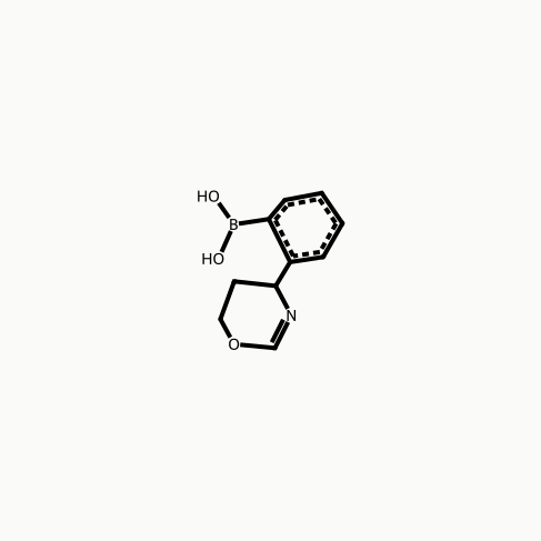 OB(O)c1ccccc1C1CCOC=N1